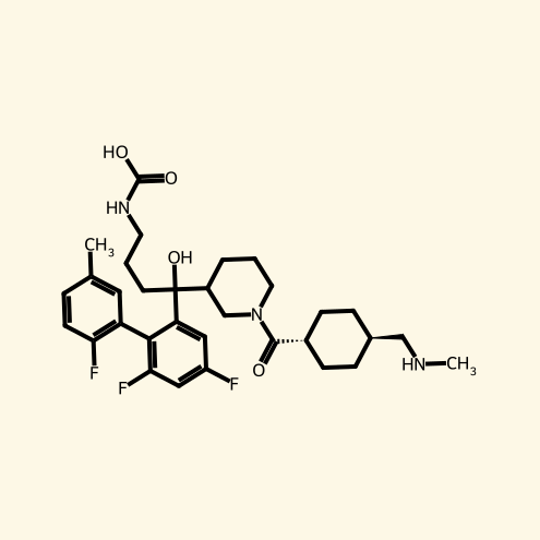 CNC[C@H]1CC[C@H](C(=O)N2CCCC(C(O)(CCCNC(=O)O)c3cc(F)cc(F)c3-c3cc(C)ccc3F)C2)CC1